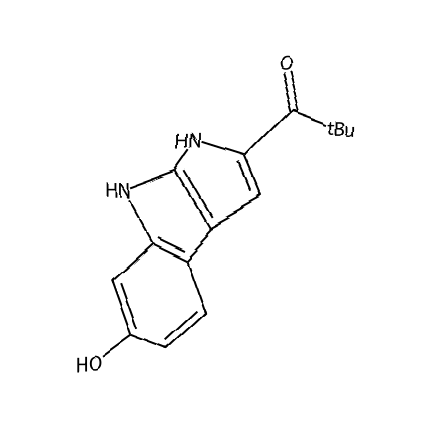 CC(C)(C)C(=O)c1cc2c([nH]1)[nH]c1cc(O)ccc12